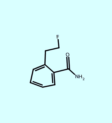 NC(=O)c1ccccc1CCF